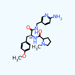 COc1ccc(C[C@H](NC(=O)C2CCCN2C)C(=O)NCc2ccc(N)nc2)cc1